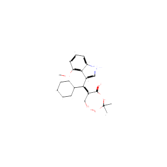 COc1cccc2[nH]cc(/C(=C3/COOC(C)(C)OC3=O)C3CCCCC3)c12